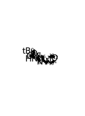 CC(C)(C)OC(=O)Nc1nc(CN2CCOCC2)cs1